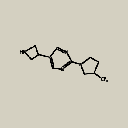 FC(F)(F)C1CCN(c2ncc(C3CNC3)cn2)C1